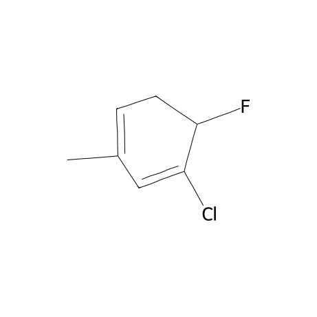 CC1=CCC(F)C(Cl)=C1